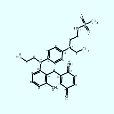 CCN(CCNS(C)(=O)=O)c1ccc(N(CCO)c2cccc(C)c2CC2=CC(=O)C=CC2=N)cc1